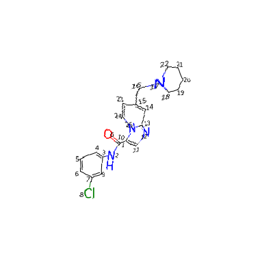 O=C(Nc1cccc(Cl)c1)c1cnc2cc(CN3CCCCC3)ccn12